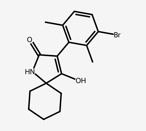 Cc1ccc(Br)c(C)c1C1=C(O)C2(CCCCC2)NC1=O